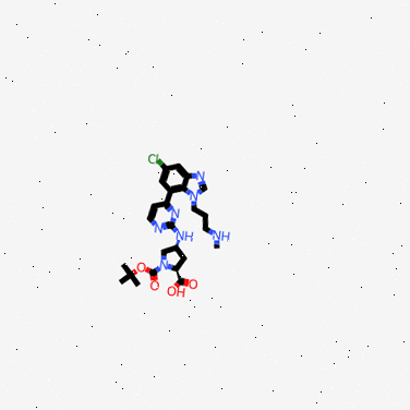 CNCCCn1cnc2cc(Cl)cc(-c3ccnc(N[C@H]4C[C@@H](C(=O)O)N(C(=O)OC(C)(C)C)C4)n3)c21